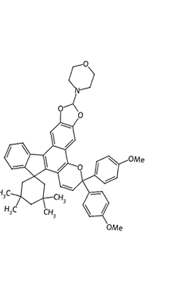 COc1ccc(C2(c3ccc(OC)cc3)C=Cc3c4c(c5cc6c(cc5c3O2)OC(N2CCOCC2)O6)-c2ccccc2C42CC(C)(C)CC(C)(C)C2)cc1